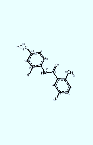 Cc1ccc(F)cc1C(=O)Nc1ncc(C(=O)O)cc1F